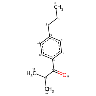 CCCc1ccc(C(=O)C(C)C)cc1